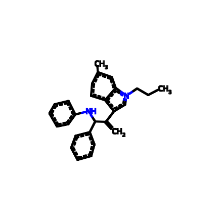 C=C(c1cn(CCC)c2cc(C)ccc12)C(Nc1ccccc1)c1ccccc1